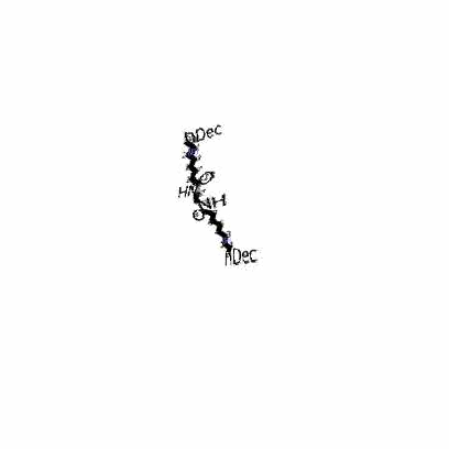 CCCCCCCCCCC/C=C/CCCCC(=O)NCCNC(=O)CCCC/C=C/CCCCCCCCCCC